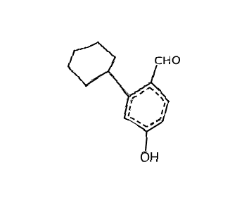 O=Cc1ccc(O)cc1C1CCCCC1